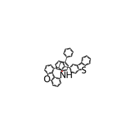 C1=CC(c2cccc3oc4cccc(Nc5ccccc5-c5ccc6sc7ccccc7c6c5)c4c23)CC(c2ccccc2)=C1